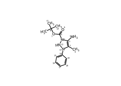 CC1=C(N)N(C(=O)OC(C)(C)C)NN1c1ccccc1